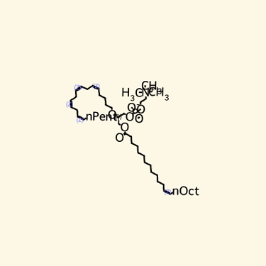 CCCCC/C=C\C/C=C\C/C=C\C/C=C\CCCCO[C@H](COC(=O)CCCCCCCCCCC/C=C\CCCCCCCC)COP(=O)([O-])OCC[N+](C)(C)C